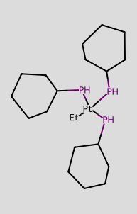 [CH2][CH2][Pt]([PH]C1CCCCC1)([PH]C1CCCCC1)[PH]C1CCCCC1